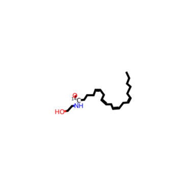 CCCCC/C=C\C/C=C\C/C=C\C/C=C\CCC[14C](=O)NCCO